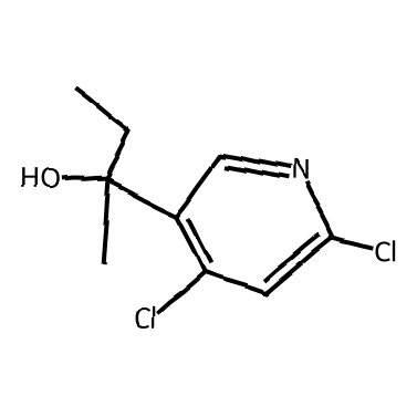 CCC(C)(O)c1cnc(Cl)cc1Cl